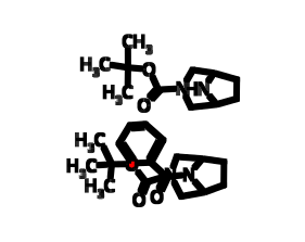 CC(C)(C)OC(=O)N1CC2CCC(C1)N2.CC(C)(C)OC(=O)N1CC2CCC(C1)N2C(=O)c1ccccc1